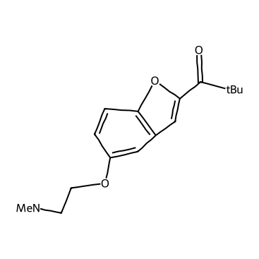 CNCCOc1ccc2oc(C(=O)C(C)(C)C)cc2c1